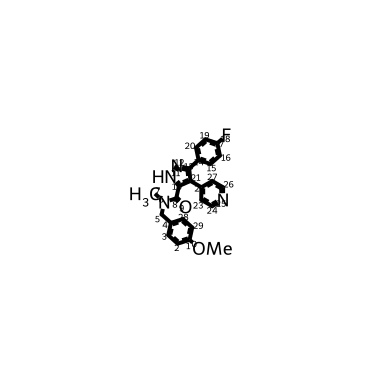 COc1ccc(CN(C)C(=O)c2[nH]nc(-c3ccc(F)cc3)c2-c2ccncc2)cc1